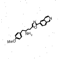 COc1ccc(C[C@H](N)CCc2cnc(-c3ccc4cnccc4c3)o2)cc1